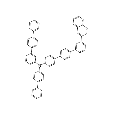 c1ccc(-c2ccc(-c3cccc(N(c4ccc(-c5ccccc5)cc4)c4ccc(-c5ccc(-c6cccc(-c7ccc8ccccc8c7)c6)cc5)cc4)c3)cc2)cc1